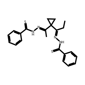 CC/C(=N\NC(=S)c1ccccc1)C1(/C(C)=N/NC(=S)c2ccccc2)CC1